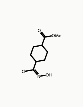 COC(=O)C1CCC(/C(Cl)=N\O)CC1